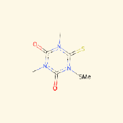 CSn1c(=O)n(C)c(=O)n(C)c1=S